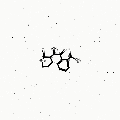 C=C(C(=O)c1ccccc1C(C)=O)C1CCCNC1=O